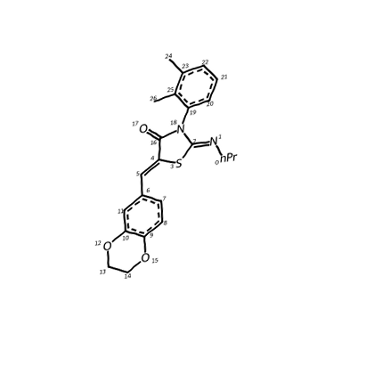 CCC/N=C1\S/C(=C\c2ccc3c(c2)OCCO3)C(=O)N1c1cccc(C)c1C